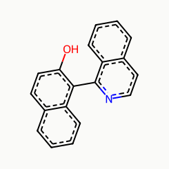 Oc1ccc2ccccc2c1-c1nccc2ccccc12